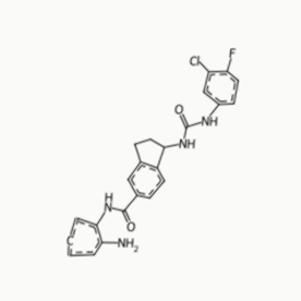 Nc1ccccc1NC(=O)c1ccc2c(c1)CCC2NC(=O)Nc1ccc(F)c(Cl)c1